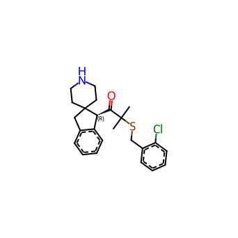 CC(C)(SCc1ccccc1Cl)C(=O)[C@H]1c2ccccc2CC12CCNCC2